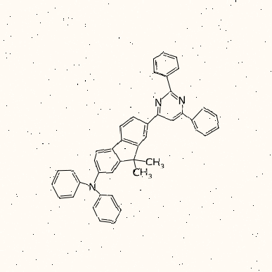 CC1(C)c2cc(-c3cc(-c4ccccc4)nc(-c4ccccc4)n3)ccc2-c2ccc(N(c3ccccc3)c3ccccc3)cc21